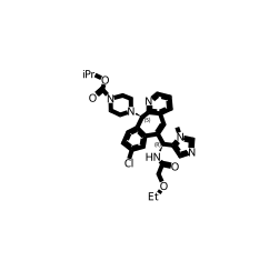 CCOCC(=O)N[C@H](C1=Cc2cccnc2[C@@H](N2CCN(C(=O)OC(C)C)CC2)c2ccc(Cl)cc21)c1cncn1C